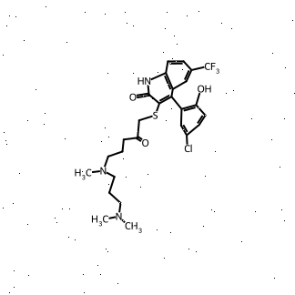 CN(C)CCCN(C)CCCC(=O)CSc1c(-c2cc(Cl)ccc2O)c2cc(C(F)(F)F)ccc2[nH]c1=O